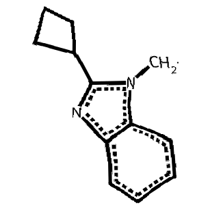 [CH2]n1c(C2CCC2)nc2ccccc21